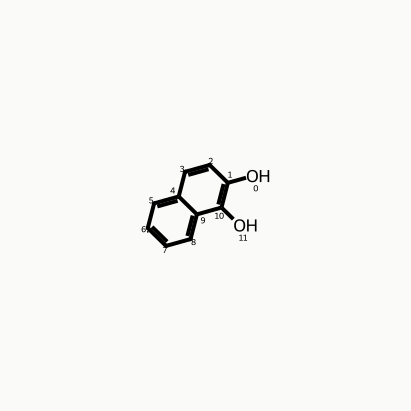 Oc1ccc2c[c]ccc2c1O